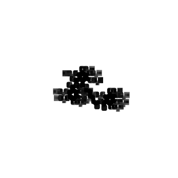 O=C(CCCCC(=O)OC(=O)c1c(C(=O)O)c(C(=O)O)c(C(=O)O)c(C(=O)O)c1C(=O)OC(=O)c1c(C(=O)O)c(C(=O)O)c(C(=O)O)c(C(=O)O)c1C(=O)O)OC(=O)c1c(C(=O)O)c(C(=O)O)c(C(=O)O)c(C(=O)O)c1C(=O)O